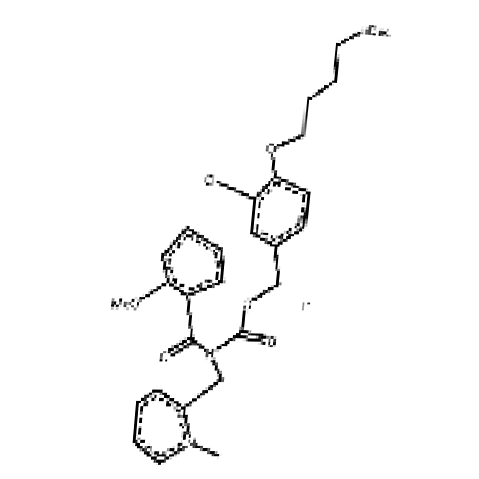 CCCCCCCCCCCCCCOc1ccc(COC(=O)N(Cc2cccc[n+]2C)C(=O)c2ccccc2OC)cc1Cl.[I-]